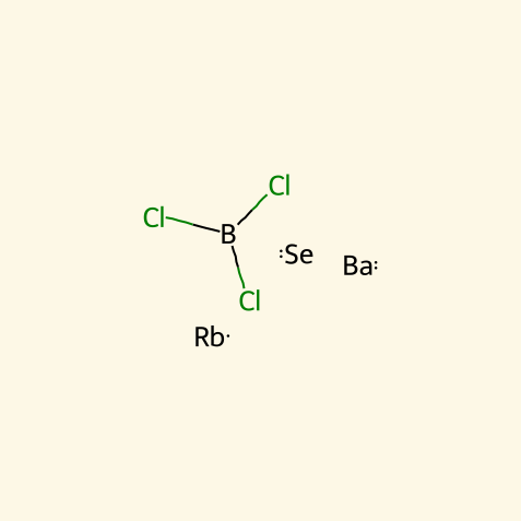 ClB(Cl)Cl.[Ba].[Rb].[Se]